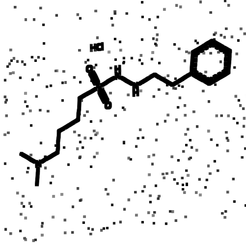 CN(C)CCCCS(=O)(=O)NNCCc1ccccc1.Cl